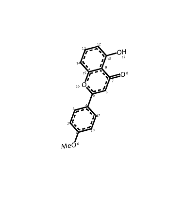 COc1ccc(-c2cc(=O)c3c(O)cccc3o2)cc1